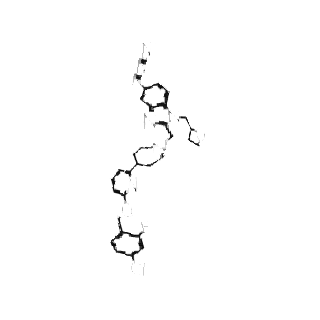 [N-]=[N+]=Nc1ccc2c(c1)nc(CN1CCC(c3cccc(OCc4ccc(Cl)cc4F)n3)CC1)n2CC1CCO1